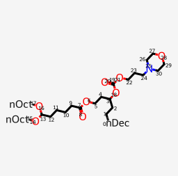 CCCCCCCCCCCCC(CCOC(=O)CCCCC(OCCCCCCCC)OCCCCCCCC)OC(=O)OCCCN1CCOCC1